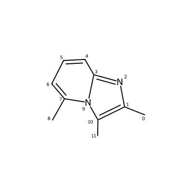 Cc1nc2cccc(C)n2c1C